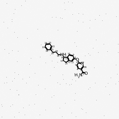 NC(=O)c1ccc(Oc2ccc3c(c2)CCC3NCCCc2ccccc2)nc1